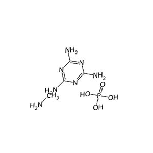 CN.Nc1nc(N)nc(N)n1.O=P(O)(O)O